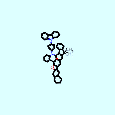 CC1(C)c2ccccc2-c2c(N(c3ccc(-n4c5ccccc5c5ccccc54)cc3)c3ccccc3-c3cccc4c3oc3cc5ccccc5cc34)cccc21